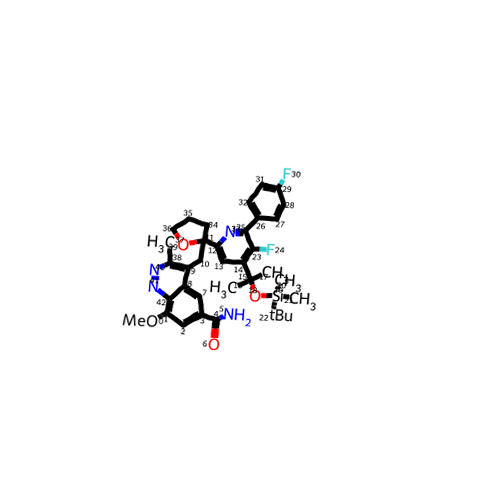 COc1cc(C(N)=O)cc2c(CC3(c4cc(C(C)(C)O[Si](C)(C)C(C)(C)C)c(F)c(-c5ccc(F)cc5)n4)CCCO3)c(C)nnc12